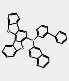 c1ccc(-c2cccc(N(c3ccc4ccccc4c3)c3cc4c5ccccc5oc4c4c3sc3ccccc34)c2)cc1